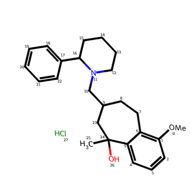 COc1cccc2c1CCC(CN1CCCCC1c1ccccc1)CC2(C)O.Cl